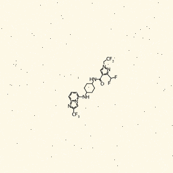 O=C(NC1CCC(Nc2cccc3nc(C(F)(F)F)cn23)CC1)c1cn(CC(F)(F)F)nc1C(F)F